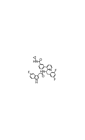 O=C(Cc1c[nH]c2ccc(F)cc12)NC(Cc1cc(F)cc(F)c1)c1ncccc1-c1cccc(C(=O)NC2CC2)c1